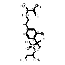 CCC(C)OP(=O)(O)C(F)(F)c1ccc(CCNC(C)C(C)=O)cc1Br